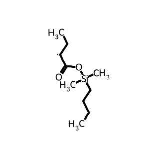 CC[CH]C(=O)O[Si](C)(C)CCCC